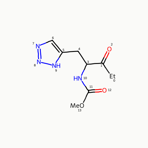 CCC(=O)C(Cc1cnn[nH]1)NC(=O)OC